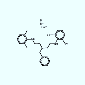 Cc1cccc(C)c1NCCN(CCNc1c(C(C)C)cccc1C(C)C)Cc1ccccn1.[Br-].[Br-].[Co+2]